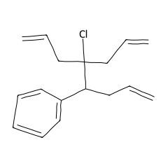 C=CCC(c1ccccc1)C(Cl)(CC=C)CC=C